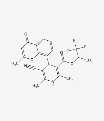 CC1=C(C#N)C(c2cccc3c(=O)cc(C)oc23)C(C(=O)OC(C)C(F)(F)F)=C(C)N1